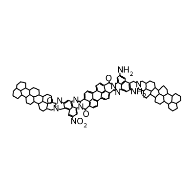 Nc1cc2c(CN3CC4CCC5C6CCC7C8CCCC9CCCC(C%10CCC(C%11CCC(C3)C4C5%11)C6C7%10)C98)c(N)cc3nc4c5ccc6c7ccc8c(=O)n9c%10cc([N+](=O)[O-])cc%11c(CN%12CC%13CCC%14C%15CCC%16C%17CCCC%18CCCC(C%19CCC(C%20CCC(C%12)C%13C%14%20)C%15C%16%19)C%18%17)c([N+](=O)[O-])cc(nc9c9ccc(c%12ccc(c(=O)n4c(c1)c32)c5c6%12)c7c89)c%11%10